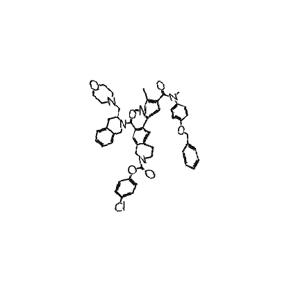 Cc1c(C(=O)N(C)c2ccc(OCc3ccccc3)cc2)cc(-c2cc3c(cc2C(=O)N2Cc4ccccc4C[C@H]2CN2CCOCC2)CN(C(=O)Oc2ccc(Cl)cc2)CC3)n1C